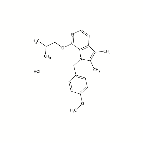 COc1ccc(Cn2c(C)c(C)c3ccnc(OCC(C)C)c32)cc1.Cl